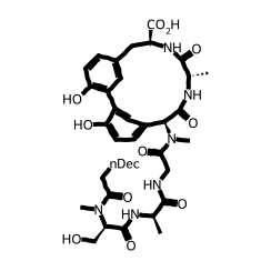 CCCCCCCCCCCC(=O)N(C)[C@H](CO)C(=O)N[C@H](C)C(=O)NCC(=O)N(C)[C@@H]1C(=O)N[C@@H](C)C(=O)N[C@H](C(=O)O)Cc2ccc(O)c(c2)-c2cc1ccc2O